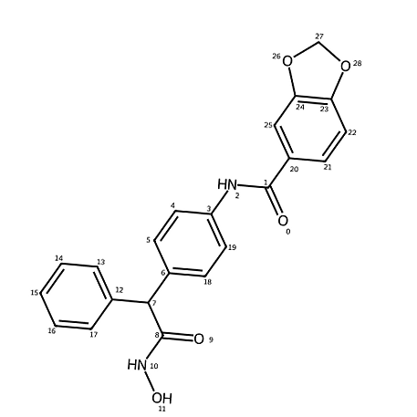 O=C(Nc1ccc(C(C(=O)NO)c2ccccc2)cc1)c1ccc2c(c1)OCO2